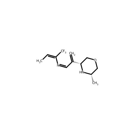 C=C(/C=N\C(=C/C)C(F)(F)F)[C@@H]1COC[C@H](C)N1